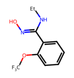 CCN/C(=N\O)c1ccccc1OC(F)(F)F